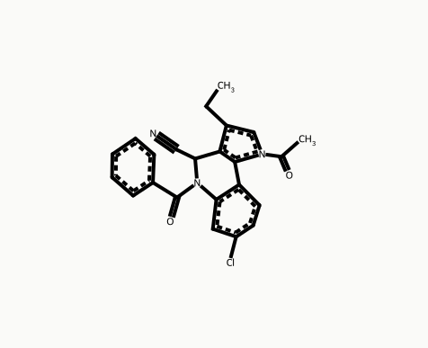 CCc1cn(C(C)=O)c2c1C(C#N)N(C(=O)c1ccccc1)c1cc(Cl)ccc1-2